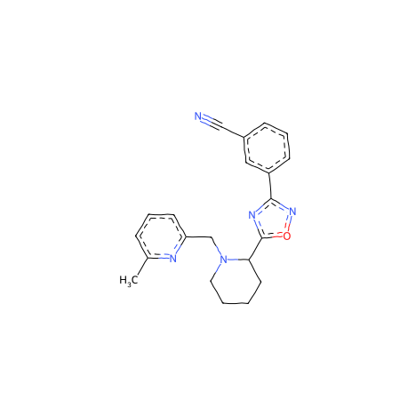 Cc1cccc(CN2CCCCC2c2nc(-c3cccc(C#N)c3)no2)n1